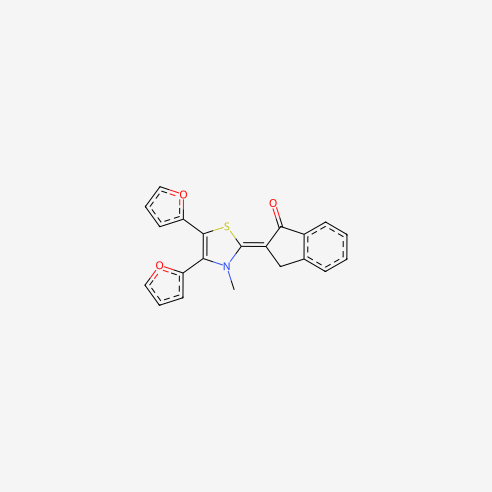 CN1C(c2ccco2)=C(c2ccco2)S/C1=C1/Cc2ccccc2C1=O